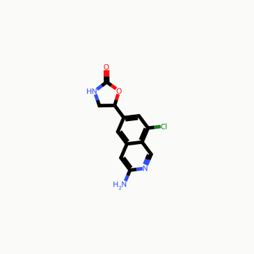 Nc1cc2cc(C3CNC(=O)O3)cc(Cl)c2cn1